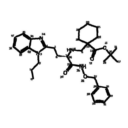 CCCn1c(CC[C@H](NCC2(C(=O)OC(C)(C)C)CCCCC2)C(=O)NOCc2ccccc2)nc2ccccc21